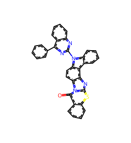 O=c1c2ccccc2sc2nc3c4c5ccccc5n(-c5nc(-c6ccccc6)c6ccccc6n5)c4ccc3n12